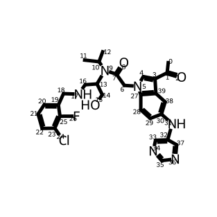 CC(=O)c1cn(CC(=O)N(C(C)C)C(CO)CNCc2cccc(Cl)c2F)c2ccc(Nc3cncnc3)cc12